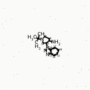 CC(C)(C)N1CCC(N)C(n2nnc3ccccc32)C1